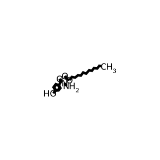 CCCCCCCCCCCCOC(=O)N(N)C(=O)c1ccc(O)cc1